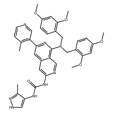 COc1ccc(CN(Cc2ccc(OC)cc2OC)c2nc(-c3cnccc3C)cc3cc(NC(=O)Nc4c[nH]nc4C)ncc23)c(OC)c1